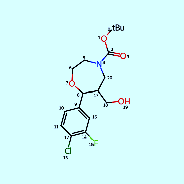 CC(C)(C)OC(=O)N1CCOC(c2ccc(Cl)c(F)c2)C(CO)C1